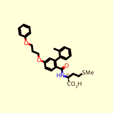 CSCC[C@H](NC(=O)c1ccc(OCCCOc2ccccc2)cc1-c1ccccc1C)C(=O)O